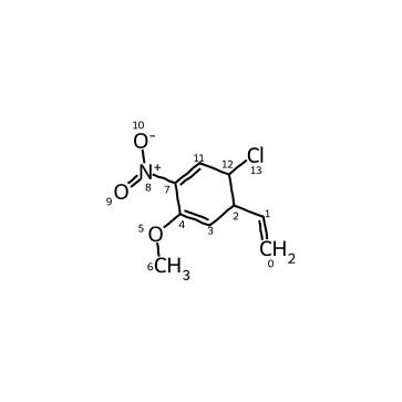 C=CC1C=C(OC)C([N+](=O)[O-])=CC1Cl